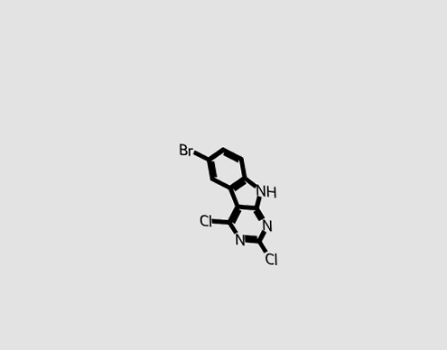 Clc1nc(Cl)c2c(n1)[nH]c1ccc(Br)cc12